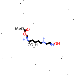 COC(=O)OCN[C@@H](CCCCNCC=NO)C(=O)O